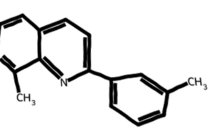 Cc1cccc(-c2ccc3ccnc(C)c3n2)c1